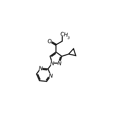 CCC(=O)c1cn(-c2ncccn2)nc1C1CC1